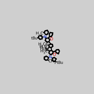 Cc1ccccc1N(c1ccc(C(C)(C)C)cc1)c1cc2c(c3c1oc1ccccc13)-c1ccc3c(c1[Si]2(C)C)[Si](C)(C)c1cc(N(c2ccc(C(C)(C)C)cc2)c2ccccc2C)c2c(oc4ccccc42)c1-3